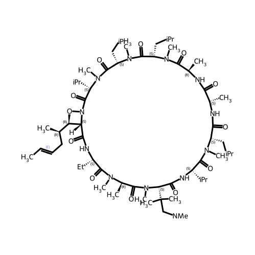 C/C=C/C[C@@H](C)[C@H]1ON2C(=O)[C@H](C(C)C)N(C)C(=O)[C@H](CC(C)C)N(C)C(=O)[C@H](CC(C)C)N(C)C(=O)[C@@H](C)NC(=O)[C@H](C)NC(=O)[C@H](CC(C)C)N(C)C(=O)[C@H](C(C)C)NC(=O)[C@H](C(C)(C)CNC)N(C)C(=O)[C@@H](C)N(C)C(=O)[C@H](CC)NC(=O)[C@H]12